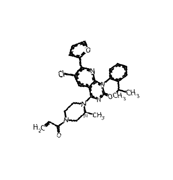 C=CC(=O)N1CCN(c2nc(=O)n(-c3ccccc3C(C)C)c3nc(-c4ccco4)c(Cl)cc23)[C@@H](C)C1